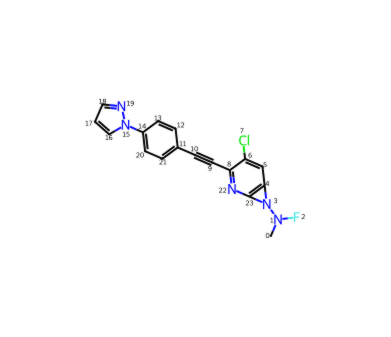 CN(F)N1c2cc(Cl)c(C#Cc3ccc(-n4cccn4)cc3)nc21